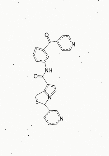 O=C(c1ccncc1)c1cccc(NC(=O)c2ccn3c2CSC3c2cccnc2)c1